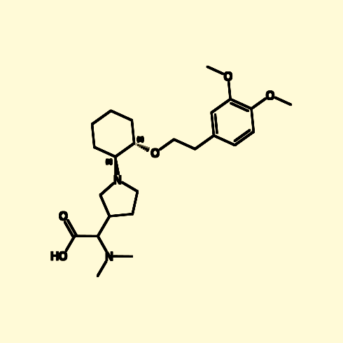 COc1ccc(CCO[C@H]2CCCC[C@@H]2N2CCC(C(C(=O)O)N(C)C)C2)cc1OC